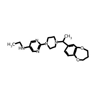 CCNc1cnc(N2CCN(C(C)c3ccc4c(c3)OCCCO4)CC2)nc1